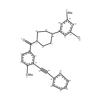 COc1ccc(C(=O)N2CCN(c3cc(Cl)nc(SC)n3)CC2)cc1C#Cc1ccccn1